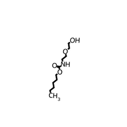 CCCCCCOC(=O)NCCOCCO